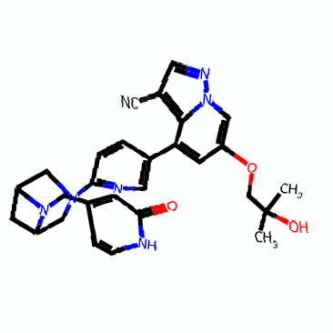 CC(C)(O)COc1cc(-c2ccc(N3CC4CC(C3)N4Cc3cc[nH]c(=O)c3)nc2)c2c(C#N)cnn2c1